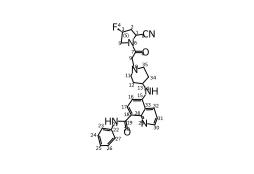 N#CC1C[C@H](F)CN1C(=O)CN1CCC(Nc2ccc(C(=O)Nc3ccccc3)c3ncccc23)CC1